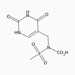 CS(=O)(=O)N(Cc1c[nH]c(=O)[nH]c1=O)C(=O)O